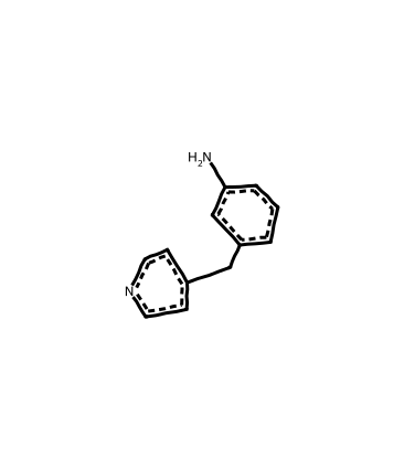 Nc1cccc(Cc2ccncc2)c1